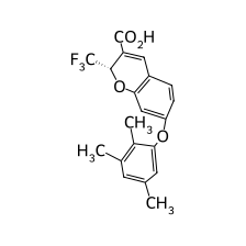 Cc1cc(C)c(C)c(Oc2ccc3c(c2)O[C@H](C(F)(F)F)C(C(=O)O)=C3)c1